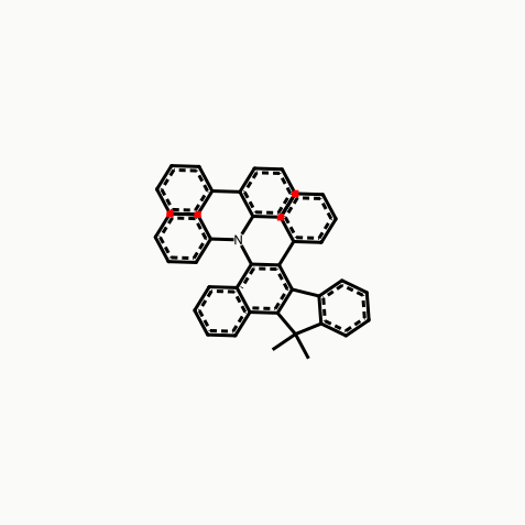 CC1(C)c2ccccc2-c2c(-c3ccccc3)c(N(c3ccccc3)c3ccccc3-c3ccccc3)c3ccccc3c21